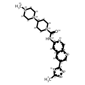 Cc1nnc(-c2cnc3cnc(NC(=O)N4CCC(N5CCN(C)CC5)CC4)cc3c2)s1